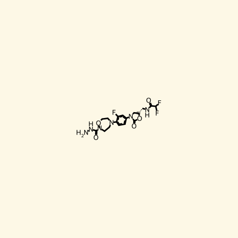 NNC(=O)N1CCN(c2ccc(N3C[C@H](CNC(=O)C(F)F)OC3=O)cc2F)CCO1